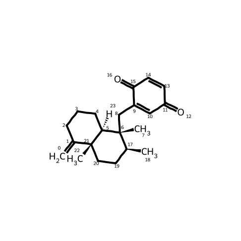 C=C1CCC[C@H]2[C@](C)(CC3=CC(=O)C=CC3=O)[C@@H](C)CC[C@]12C